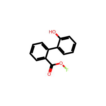 O=C(OF)c1ccccc1-c1ccccc1O